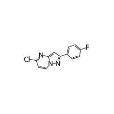 Fc1ccc(-c2cc3nc(Cl)ccn3n2)cc1